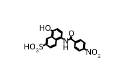 O=C(Nc1ccc(O)c2cc(S(=O)(=O)O)ccc12)c1ccc([N+](=O)[O-])cc1